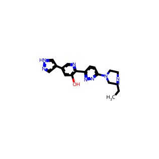 CCC1CN(c2ccc(-c3ncc(-c4cn[nH]c4)cc3O)nn2)CCN1